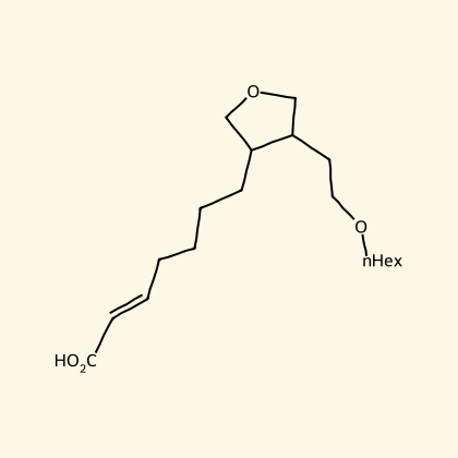 CCCCCCOCCC1COCC1CCCCC=CC(=O)O